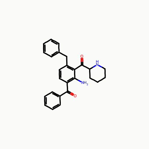 Nc1c(C(=O)c2ccccc2)ccc(Cc2ccccc2)c1C(=O)C1CCCCN1